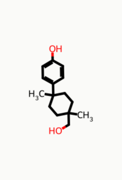 CC1(CO)CCC(C)(c2ccc(O)cc2)CC1